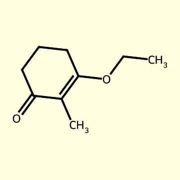 CCOC1=C(C)C(=O)CCC1